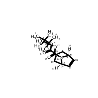 CC(C)(C)OC(=O)N1C[C@H]2C=C[C@@H](C1)N2C(=O)OC(C)(C)C